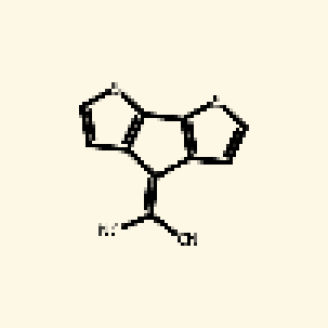 N#CC(C#N)=C1c2ccsc2-c2sccc21